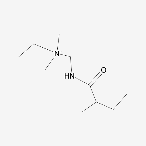 CCC(C)C(=O)NC[N+](C)(C)CC